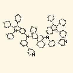 c1ccc(-c2c(-c3ccccc3)n(-c3ccccc3)c3cc(N(c4cccc(-c5ccncc5)c4)c4cc5c6ccccc6c(N(c6cccc(-c7ccncc7)c6)c6ccc7c(-c8ccccc8)c(-c8ccccc8)n(-c8ccccc8)c7c6)cc5c5ccccc45)ccc23)cc1